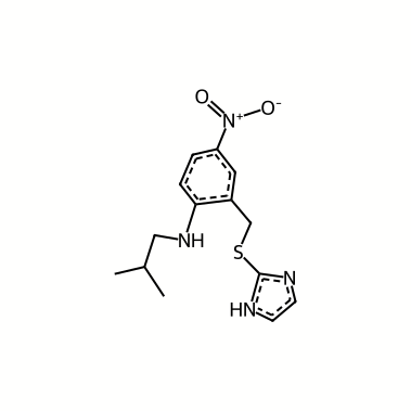 CC(C)CNc1ccc([N+](=O)[O-])cc1CSc1ncc[nH]1